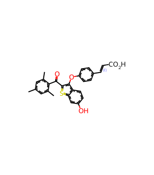 Cc1cc(C)c(C(=O)c2sc3cc(O)ccc3c2Oc2ccc(/C=C/C(=O)O)cc2)c(C)c1